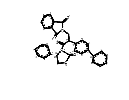 O=C1c2ccccc2C(=O)N1CC(C(=O)N1C(=O)OC[C@@H]1c1ccccc1)c1ccc(-c2ccccc2)cc1